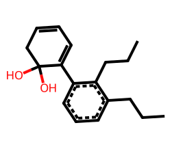 CCCc1cccc(C2=CC=CCC2(O)O)c1CCC